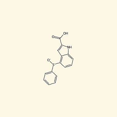 O=C(O)c1cc2c([S+]([O-])c3ccccc3)cccc2[nH]1